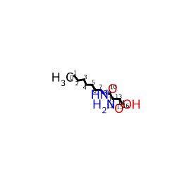 CCCCCCCCNC(=O)[C@@H](N)CC(=O)O